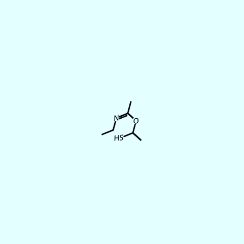 CC/N=C(/C)OC(C)S